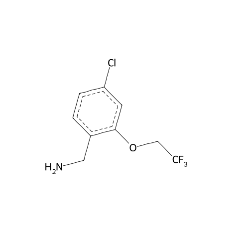 NCc1ccc(Cl)cc1OCC(F)(F)F